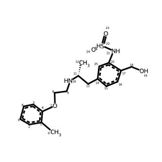 Cc1ccccc1OCCN[C@H](C)Cc1ccc(CO)c(N[SH](=O)=O)c1